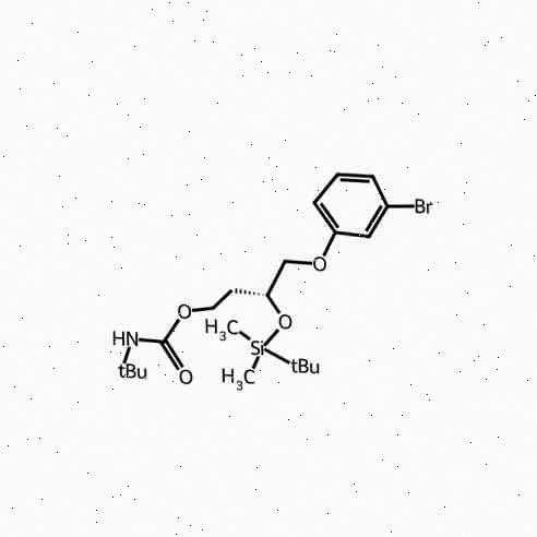 CC(C)(C)NC(=O)OCC[C@H](COc1cccc(Br)c1)O[Si](C)(C)C(C)(C)C